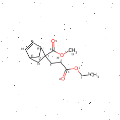 CCOC(=O)CCC1(C(=O)OC)CC2C=CC1C2